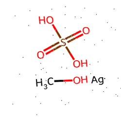 CO.O=S(=O)(O)O.[Ag]